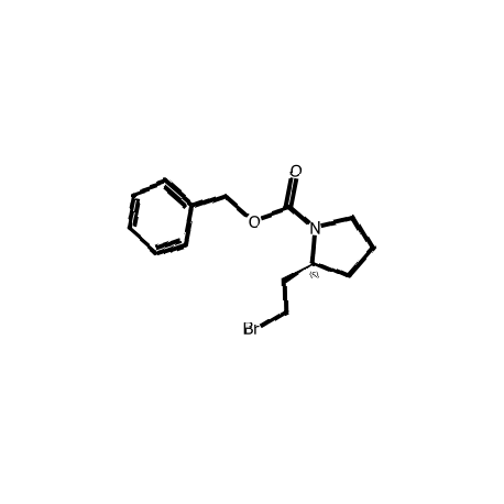 O=C(OCc1ccccc1)N1CCC[C@H]1CCBr